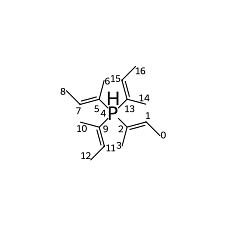 CC=C(C)[PH](C(C)=CC)(C(C)=CC)C(C)=CC